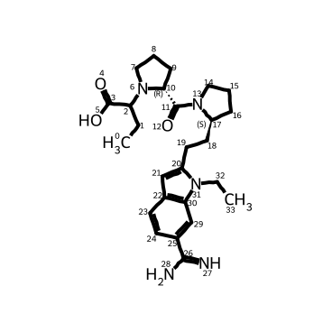 CCC(C(=O)O)N1CCC[C@@H]1C(=O)N1CCC[C@H]1CCc1cc2ccc(C(=N)N)cc2n1CC